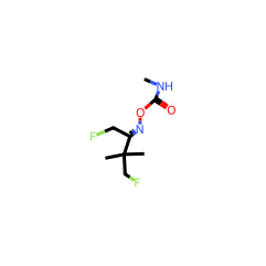 CNC(=O)ON=C(CF)C(C)(C)CF